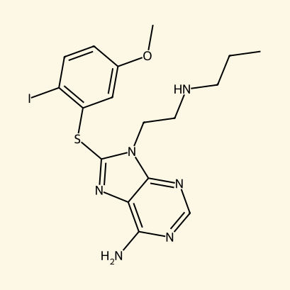 CCCNCCn1c(Sc2cc(OC)ccc2I)nc2c(N)ncnc21